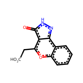 O=C(O)Cc1oc2ccccc2c2n[nH]c(=O)c1-2